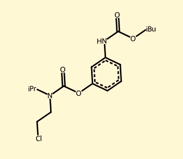 CCC(C)OC(=O)Nc1cccc(OC(=O)N(CCCl)C(C)C)c1